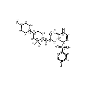 Cc1ccc(S(=O)(=O)N2C=CNC(=O)[C@H]2CC(=O)N[C@@H]2CC[C@H](N3CCC(F)CC3)CC2(C)C)cc1